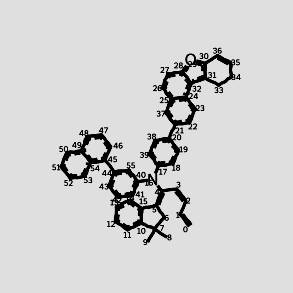 C=C/C=C\C(=C1/CC(C)(C)c2ccccc21)N(c1ccc(-c2ccc3c(ccc4oc5c(c43)CCC=C5)c2)cc1)c1cccc(-c2cccc3ccccc23)c1